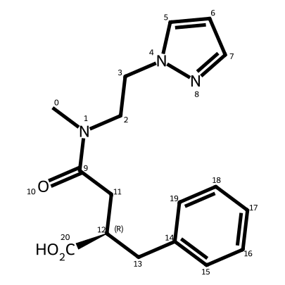 CN(CCn1cccn1)C(=O)C[C@@H](Cc1ccccc1)C(=O)O